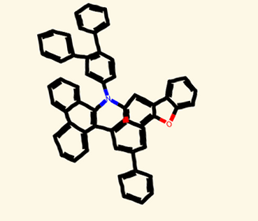 c1ccc(-c2cccc(-c3c(N(c4ccc(-c5ccccc5)c(-c5ccccc5)c4)c4ccc5oc6ccccc6c5c4)c4ccccc4c4ccccc34)c2)cc1